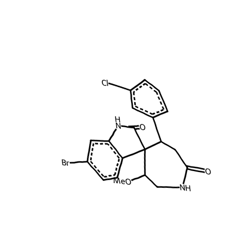 COC1CNC(=O)CC(c2cccc(Cl)c2)C12C(=O)Nc1cc(Br)ccc12